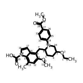 CCOC1CCC(Cc2c(OC)cc(C)c3c2ccn3C(=O)O)N(c2ccc(C(=O)OC)cc2)C1